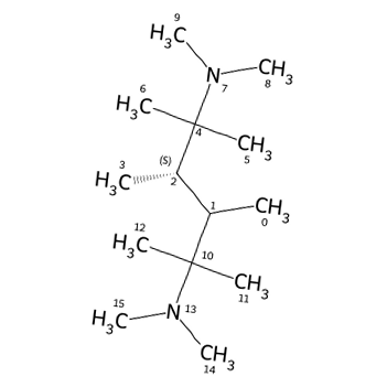 CC([C@H](C)C(C)(C)N(C)C)C(C)(C)N(C)C